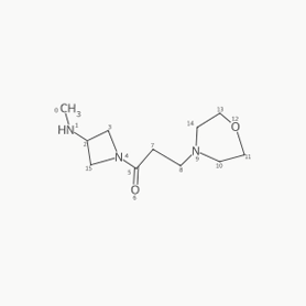 CNC1CN(C(=O)CCN2CCOCC2)C1